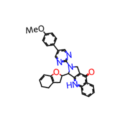 COc1ccc(-c2cnc(N3Cc4c([nH]c5ccccc5c4=O)C3C3CC4=C(C=CCC4)O3)nc2)cc1